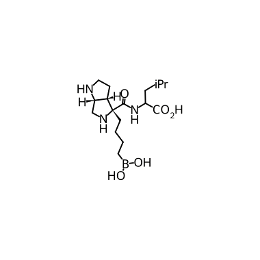 CC(C)CC(NC(=O)[C@]1(CCCCB(O)O)NC[C@@H]2NCC[C@@H]21)C(=O)O